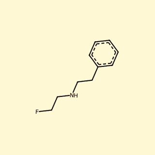 FCCNCCc1ccccc1